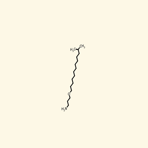 CC(C)CCCCCCCCCCCOCCCN